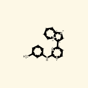 Cc1cccc(Nc2nccc(-c3cnc4ccccn34)n2)c1